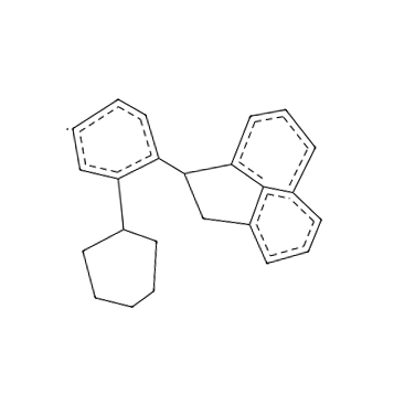 [c]1ccc(C2Cc3cccc4cccc2c34)c(C2CCCCC2)c1